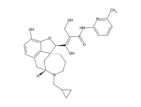 Cc1cccc(NC(=O)/C(CO)=C(\O)[C@@H]2Oc3c(O)ccc4c3[C@@]23CCCN(CC2CC2)[C@H](C4)C3)n1